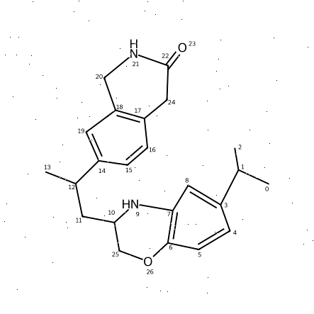 CC(C)c1ccc2c(c1)NC(CC(C)c1ccc3c(c1)CNC(=O)C3)CO2